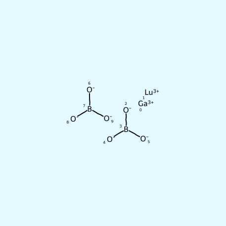 [Ga+3].[Lu+3].[O-]B([O-])[O-].[O-]B([O-])[O-]